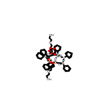 C[Si]1(CCCOCCO)O[Si]2(c3ccccc3)O[Si]3(c4ccccc4)O[Si]4(c5ccccc5)O[Si](C)(CCCOCCO)O[Si]5(c6ccccc6)O[Si](c6ccccc6)(O[Si](c6ccccc6)(O1)O[Si](c1ccccc1)(O5)O[Si](c1ccccc1)(O2)O4)O3